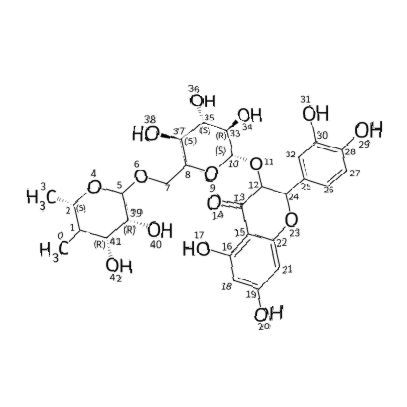 CC1[C@H](C)OC(OCC2O[C@@H](OC3C(=O)c4c(O)cc(O)cc4OC3c3ccc(O)c(O)c3)[C@H](O)[C@@H](O)[C@@H]2O)[C@H](O)[C@@H]1O